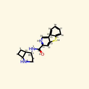 O=C(N[C@@H]1CCNC2CCC21)c1cc2sc3ccccc3c2cn1